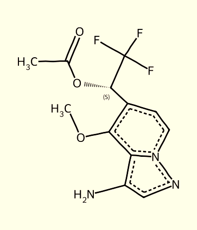 COc1c([C@H](OC(C)=O)C(F)(F)F)ccn2ncc(N)c12